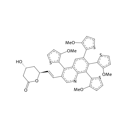 COc1ccsc1-c1cc2c(-c3sccc3OC)c(C=C[C@@H]3C[C@@H](O)CC(=O)O3)cnc2c(-c2sccc2OC)c1-c1sccc1OC